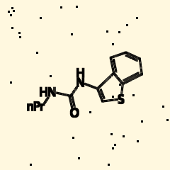 CCCNC(=O)Nc1csc2ccccc12